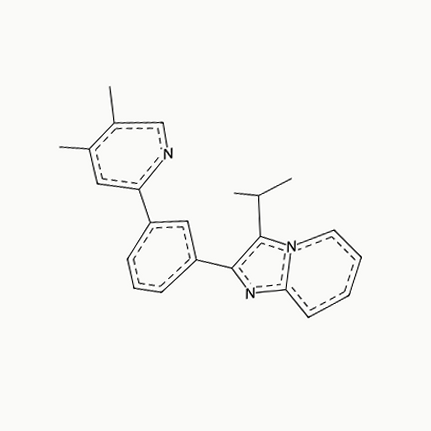 Cc1cnc(-c2cccc(-c3nc4ccccn4c3C(C)C)c2)cc1C